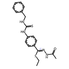 CCS/C(=N\NC(C)=O)c1ccc(NC(=S)NCc2ccccc2)cc1